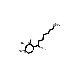 CCCCCCCCCCCCCCCCC(C)C1OC[C@@H](O)[C@H](O)[C@H]1O